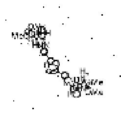 COC(=O)N[C@H](C(=O)N1[C@H](c2nc3cc(-c4cc5c6cc4OC4Cc7cc(-c8ccc9[nH]c([C@@H]%10C[C@@H]%11CCCC[C@@H]%11N%10C(=O)[C@@H](NC(=O)OC)[C@@H](N)OC)nc9c8)c(cc74)C(C6)C5)ccc3[nH]2)C[C@@H]2CCCC[C@@H]21)[C@@H](C)OC